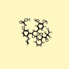 C=CCc1ccc(OCC(=O)O)cc1C(CCc1ccc(OC)c(OC)c1)OC(=O)N1CCCCC1C(=O)C(=O)C(C)(C)CC